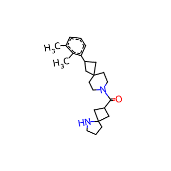 Cc1cccc(C2CC3(CCN(C(=O)C4CC5(CCCN5)C4)CC3)C2)c1C